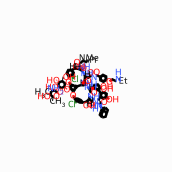 CCNCCOc1ccc(C(=O)NC(=O)C[C@@H]2NC(=O)[C@H](NC(=O)[C@@H](CC(C)C)NC)[C@H](O)c3ccc(c(Cl)c3)Oc3cc4cc(c3O[C@@H]3C[C@H](CO)[C@@H](O)[C@H](O)[C@H]3O[C@H]3C[C@](C)(N)[C@H](O)[C@H](C)O3)Oc3ccc(cc3Cl)[C@@H](O)[C@@H]3NC(=O)[C@H](NC(=O)[C@@H]4NC2=O)c2ccc(O)c(c2)-c2c(O)cc(O)cc2[C@@H](C(=O)NC2C4CC5CC(C4)CC2C5)NC3=O)cc1